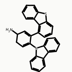 NC1C=C(c2cccc3sc4ccccc4c23)C(n2c3ccccc3c3ccccc32)=CC1